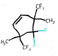 CC1(C(F)(F)F)C=CC(C)(C(F)(F)F)C1(F)F